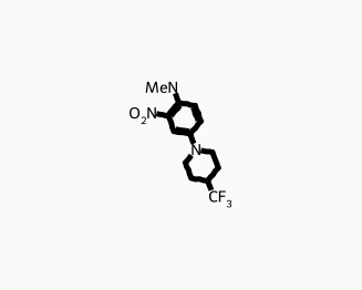 CNc1ccc(N2CCC(C(F)(F)F)CC2)cc1[N+](=O)[O-]